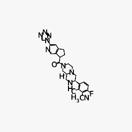 Cc1c([C@@H]2CN3CCN(C(=O)C4CCc5cc(-n6cnnn6)ncc54)C[C@@H]3CN2)ccc(F)c1C#N